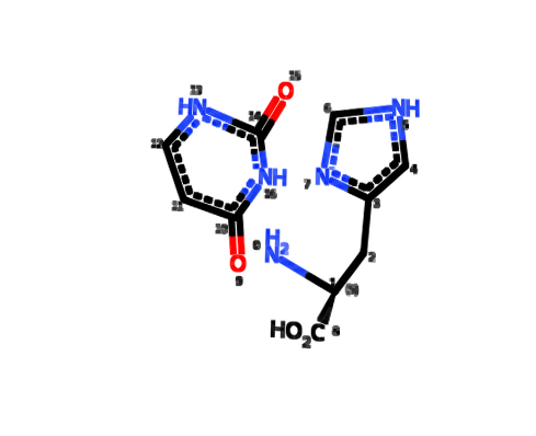 N[C@@H](Cc1c[nH]cn1)C(=O)O.O=c1cc[nH]c(=O)[nH]1